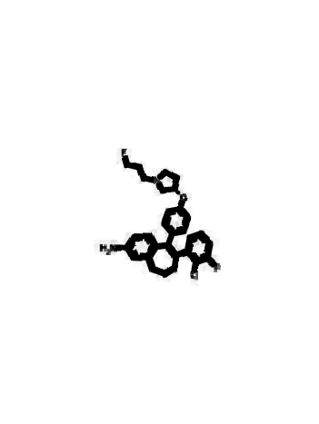 Nc1ccc2c(c1)CCCC(c1cccc(F)c1Cl)=C2c1ccc(O[C@H]2CCN(CCCF)C2)cc1